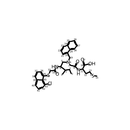 CCC(C)C(CN(CC(=O)NC(CCSC)C(=O)O)Cc1cccc2ccccc12)NC(=O)CSc1cccc2cccc(Cl)c12